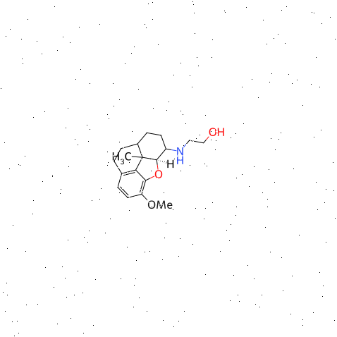 COc1ccc2c3c1O[C@@H]1C(NCCO)CCC(CC2)C31C